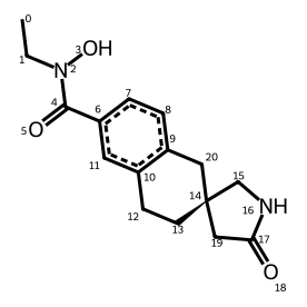 CCN(O)C(=O)c1ccc2c(c1)CC[C@]1(CNC(=O)C1)C2